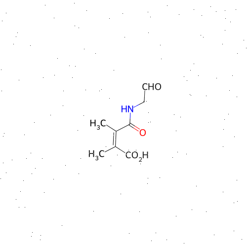 C/C(C(=O)O)=C(\C)C(=O)NCC=O